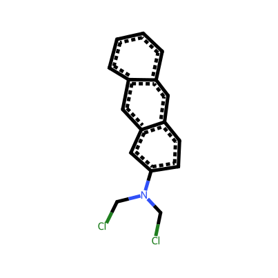 ClCN(CCl)c1ccc2cc3ccccc3cc2c1